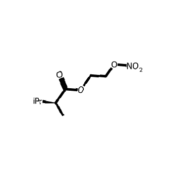 CC(C)[C@H](C)C(=O)OCCO[N+](=O)[O-]